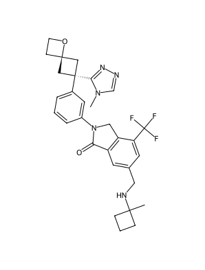 Cn1cnnc1[C@]1(c2cccc(N3Cc4c(cc(CNC5(C)CCC5)cc4C(F)(F)F)C3=O)c2)C[C@]2(CCO2)C1